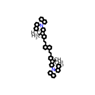 CC1(C)c2cc(/C=C/c3cccc4c(/C=C/c5ccc6c(c5)C(C)(C)c5cc(N(c7cccc8ccccc78)c7cccc8ccccc78)ccc5-6)cccc34)ccc2-c2ccc(N(c3cccc4ccccc34)c3cccc4ccccc34)cc21